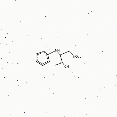 CCCCCCCCCC(Nc1ccccc1)C(C)C#N